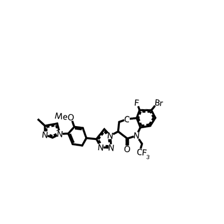 COC1=CC(c2cn(C3CCc4c(ccc(Br)c4F)N(CC(F)(F)F)C3=O)nn2)CC=C1n1cnc(C)c1